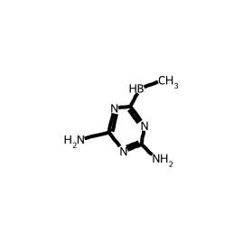 CBc1nc(N)nc(N)n1